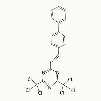 ClC(Cl)(Cl)c1nc(/C=C/c2ccc(-c3ccccc3)cc2)nc(C(Cl)(Cl)Cl)n1